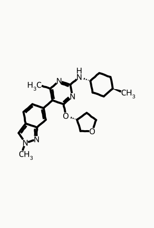 Cc1nc(N[C@H]2CC[C@H](C)CC2)nc(O[C@@H]2CCOC2)c1-c1ccc2cn(C)nc2c1